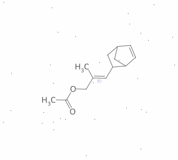 CC(=O)OC/C(C)=C/C1CC2C=CC1C2